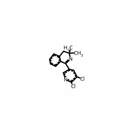 CC1(C)Cc2ccccc2C(c2cnc(Cl)c(Cl)c2)=N1